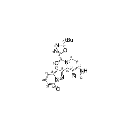 CC(C)(C)c1nnc(C(=O)N2CCc3[nH]cnc3C2c2cc3cccc(Cl)n3n2)o1